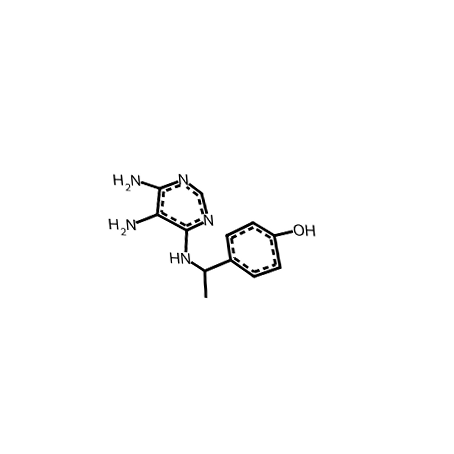 CC(Nc1ncnc(N)c1N)c1ccc(O)cc1